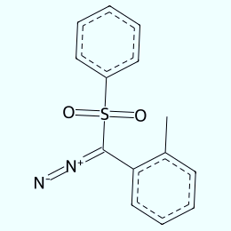 Cc1ccccc1C(=[N+]=[N-])S(=O)(=O)c1ccccc1